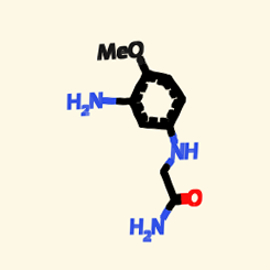 COc1ccc(NCC(N)=O)cc1N